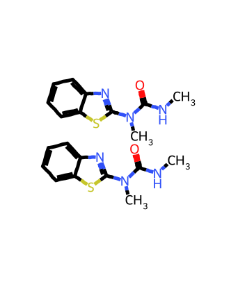 CNC(=O)N(C)c1nc2ccccc2s1.CNC(=O)N(C)c1nc2ccccc2s1